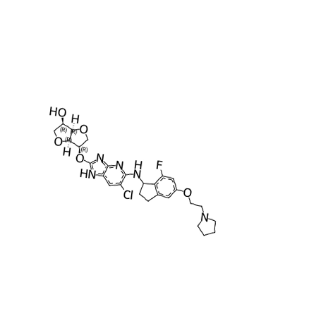 O[C@@H]1CO[C@H]2[C@@H]1OC[C@H]2Oc1nc2nc(NC3CCc4cc(OCCN5CCCC5)cc(F)c43)c(Cl)cc2[nH]1